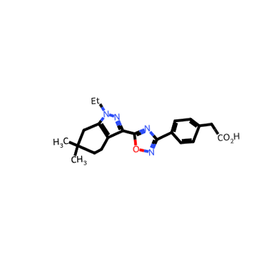 CCn1nc(-c2nc(-c3ccc(CC(=O)O)cc3)no2)c2c1CC(C)(C)CC2